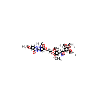 COc1ccc2c(c1)C(=O)NC(c1ccc(OCCCCOc3c(OC)cc(-c4cc(-c5cc(OC)c(OC)c(OC)c5)on4)cc3OC)c(OC)c1)N2